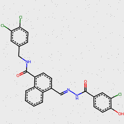 O=C(N/N=C/c1ccc(C(=O)NCc2ccc(Cl)c(Cl)c2)c2ccccc12)c1ccc(O)c(Cl)c1